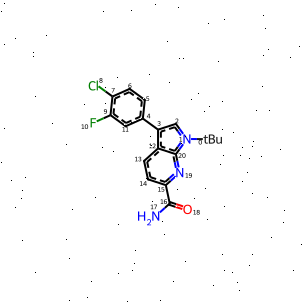 CC(C)(C)n1cc(-c2ccc(Cl)c(F)c2)c2ccc(C(N)=O)nc21